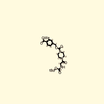 COC(=O)c1ccc(COC(=O)N2CCN(C(=O)CNC(=O)OC(C)(C)C)CC2)cc1